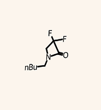 CCCCCN1CC(F)(F)C1=O